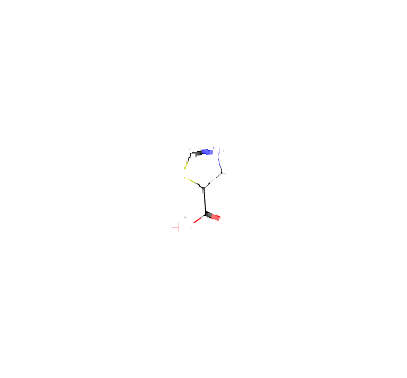 O=C(O)C1CN=CS1